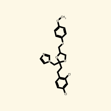 COc1ccc(SCC2COC(CCc3ccc(Cl)cc3Cl)(Cn3ccnc3)O2)cc1